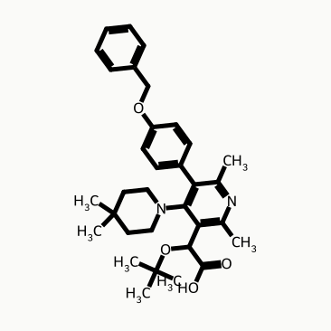 Cc1nc(C)c(C(OC(C)(C)C)C(=O)O)c(N2CCC(C)(C)CC2)c1-c1ccc(OCc2ccccc2)cc1